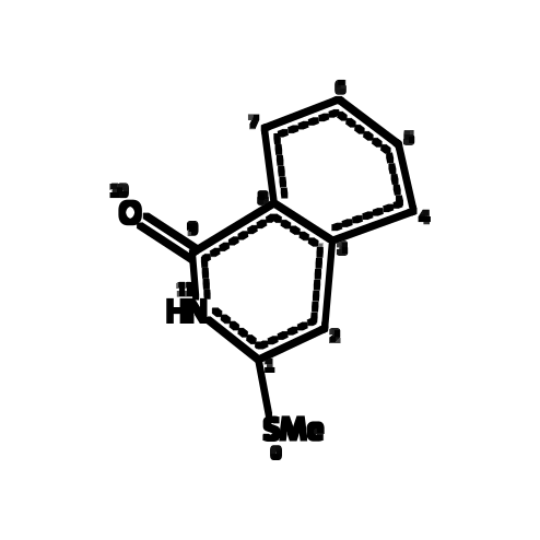 CSc1cc2ccccc2c(=O)[nH]1